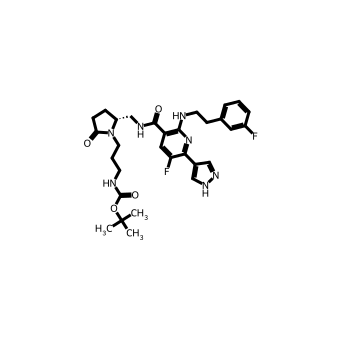 CC(C)(C)OC(=O)NCCCN1C(=O)CC[C@@H]1CNC(=O)c1cc(F)c(-c2cn[nH]c2)nc1NCCc1cccc(F)c1